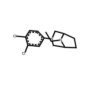 CCN1C2CCC1CN(c1ccc(Cl)c(Cl)c1)C2